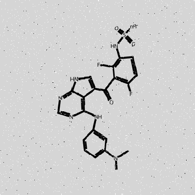 CCCS(=O)(=O)Nc1ccc(F)c(C(=O)c2c[nH]c3ncnc(Nc4cccc(N(C)C)c4)c23)c1F